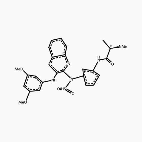 CN[C@H](C)C(=O)Nc1cccc(N(c2nc3ccccc3nc2Nc2cc(OC)cc(OC)c2)[SH](=O)=O)c1